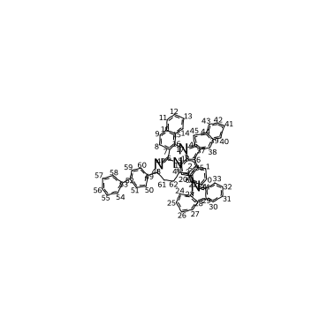 c1ccc(C2=NC(c3ccc4ccccc4c3-n3c4ccc(-n5c6ccccc6c6ccccc65)cc4c4cc5ccccc5cc43)=NC(c3ccc(-c4ccccc4)cc3)CC2)cc1